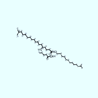 CC(C)CCCCCCCCCCCOC(=O)CCCC(S)CCCCCCCCCCCC(C)C.CCCCC(=O)O